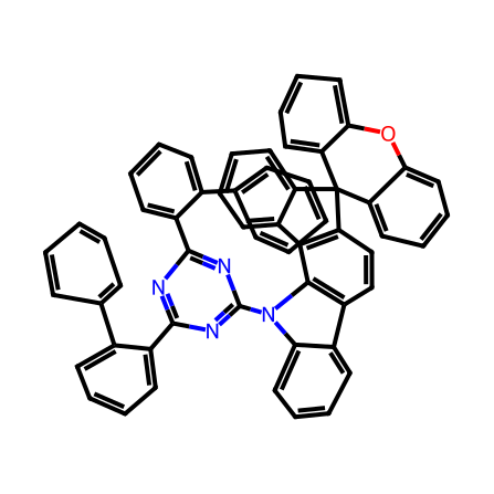 c1ccc(-c2ccccc2-c2nc(-c3ccccc3-c3ccccc3)nc(-n3c4ccccc4c4ccc5c(c43)-c3ccccc3C53c4ccccc4Oc4ccccc43)n2)cc1